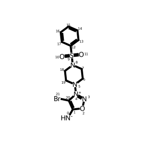 [NH-]c1on[n+](N2CCN(S(=O)(=O)c3ccccc3)CC2)c1Br